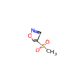 CS(=O)(=O)c1cnoc1